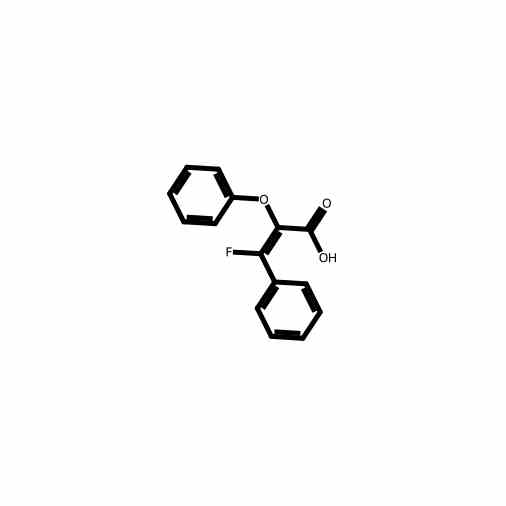 O=C(O)C(Oc1ccccc1)=C(F)c1ccccc1